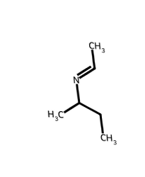 CC=NC(C)CC